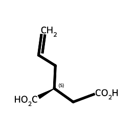 C=CC[C@@H](CC(=O)O)C(=O)O